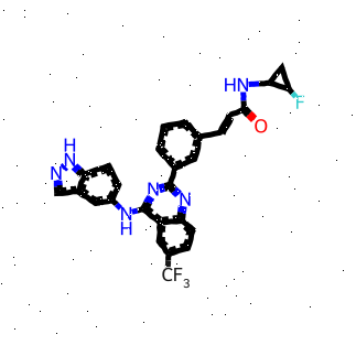 O=C(/C=C/c1cccc(-c2nc(Nc3ccc4[nH]ncc4c3)c3cc(C(F)(F)F)ccc3n2)c1)NC1CC1F